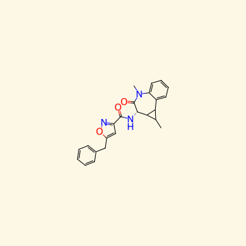 CC1C2c3ccccc3N(C)C(=O)[C@@H](NC(=O)c3cc(Cc4ccccc4)on3)C12